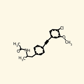 COc1cc(C#Cc2ccc(CC(C)NC(C)=O)cc2)ccc1Cl